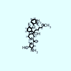 COCCCC[C@@](O)(c1cccc(F)c1Oc1ccccc1C)C1CCCN(C(=O)N2C[C@@H](N)[C@@H](O)C2)C1